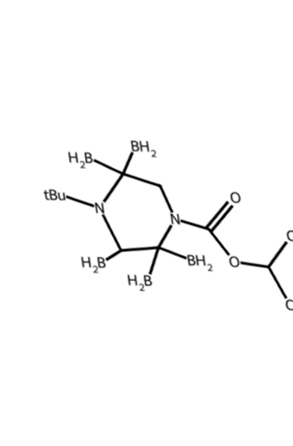 BC1N(C(C)(C)C)C(B)(B)CN(C(=O)OC(C(F)(F)F)C(F)(F)F)C1(B)B